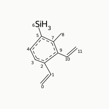 C=Cc1ccc([SiH3])c(C)c1C=C